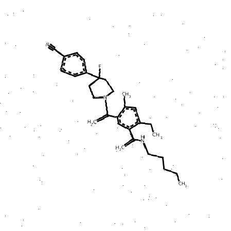 C=C(NCCCCC)c1cc(C(=C)N2CCC(F)(c3ccc(C#N)cc3)CC2)c(C)cc1CC